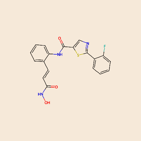 O=C(C=Cc1ccccc1NC(=O)c1cnc(-c2ccccc2F)s1)NO